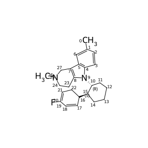 Cc1ccc2c(c1)c1c(n2[C@@H]2CCCC[C@H]2C2C=CC(F)=CC2)CCN(C)C1